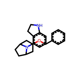 c1ccc(COC2CC3CCC(C2)N3c2cccc3c2CCN3)cc1